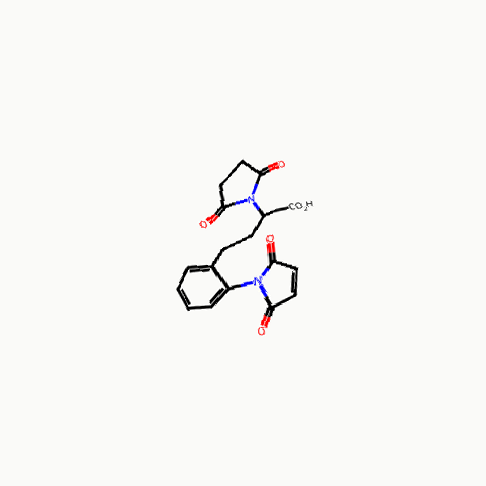 O=C(O)C(CCc1ccccc1N1C(=O)C=CC1=O)N1C(=O)CCC1=O